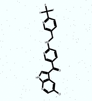 O=C(c1ccc(NCc2ccc(C(F)(F)F)nc2)nc1)c1c[nH]c2ncc(Cl)cc12